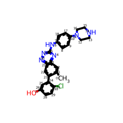 Cc1cc2nc(Nc3ccc(N4CCNCC4)cc3)nnc2cc1-c1cc(O)ccc1Cl